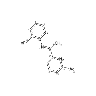 CCCc1ccccc1/N=C(\C)c1cccc(C(C)=O)n1